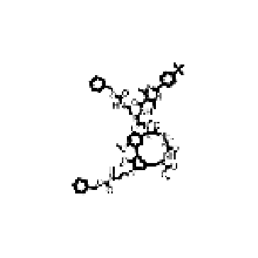 COC(=O)[C@@H]1Cc2cc(OCCNC(=O)OCc3ccccc3)c(OC)c(c2)-c2cc(ccc2OC)[C@H](N(C)C(=O)[C@@H](CCNC(=O)OCc2ccccc2)NC(=O)c2c(C)nc(-c3ccc(C(C)(C)C)cc3)nc2C)C(=O)N[C@H](C)C(=O)N1